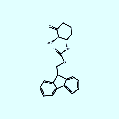 O=C(N[C@@H]1CCCC(=O)[C@@H]1O)OCC1c2ccccc2-c2ccccc21